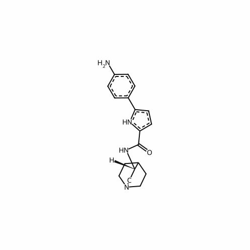 Nc1ccc(-c2ccc(C(=O)N[C@H]3CN4CCC3CC4)[nH]2)cc1